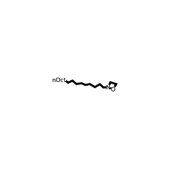 CCCCCCCCCCCCCCCCCN1CCO1